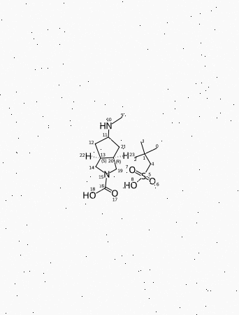 CC(C)(C)CS(=O)(=O)O.CNC1C[C@@H]2CN(C(=O)O)C[C@@H]2C1